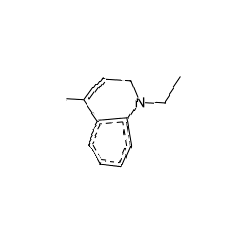 CCN1CC=C(C)c2ccccc21